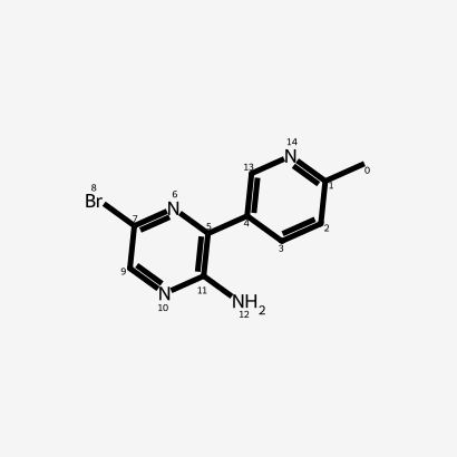 Cc1ccc(-c2nc(Br)cnc2N)cn1